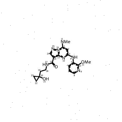 CNc1cc(Nc2cccnc2OC)nc2c(C(=O)NCCC3(O)CC3)cnn12